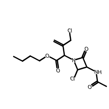 C=C(CCl)C(C(=O)OCCCC)N1C(=O)C(NC(C)=O)C1Cl